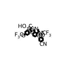 N#Cc1ccc(S(=O)(=O)N(CC(F)(F)F)c2cnc(N(CC(=O)O)S(=O)(=O)c3ccc(OC(F)(F)F)cc3)c3ccccc23)cc1